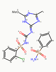 COc1nc(C)nc(=NC(=O)NS(=O)(=O)c2ccccc2Cl)[nH]1.NS(=O)(=O)c1ccccc1